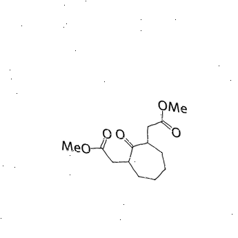 COC(=O)CC1CCCCC(CC(=O)OC)C1=O